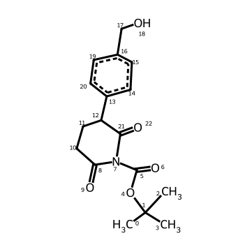 CC(C)(C)OC(=O)N1C(=O)CCC(c2ccc(CO)cc2)C1=O